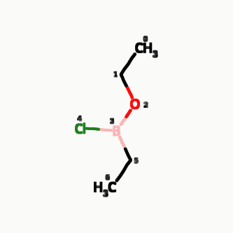 CCOB(Cl)CC